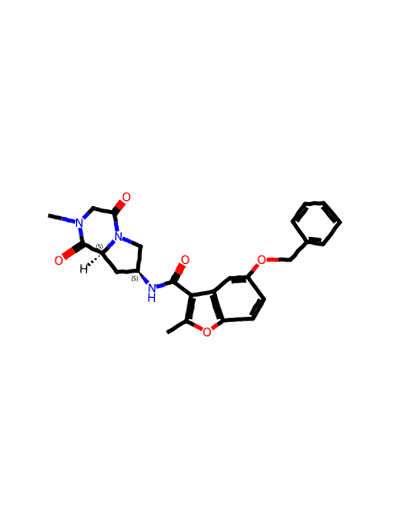 Cc1oc2ccc(OCc3ccccc3)cc2c1C(=O)N[C@H]1C[C@H]2C(=O)N(C)CC(=O)N2C1